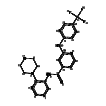 O=C(Nc1cncnc1N1CCOCC1)c1ccnc(Nc2ccc(C(F)(F)F)cn2)c1